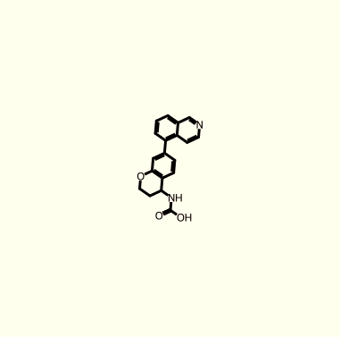 O=C(O)NC1CCOc2cc(-c3cccc4cnccc34)ccc21